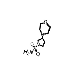 NS(=O)(=O)N1CCC(N2CCOCC2)C1